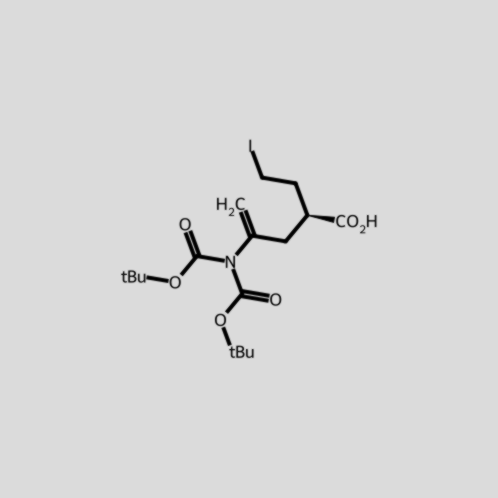 C=C(C[C@@H](CCI)C(=O)O)N(C(=O)OC(C)(C)C)C(=O)OC(C)(C)C